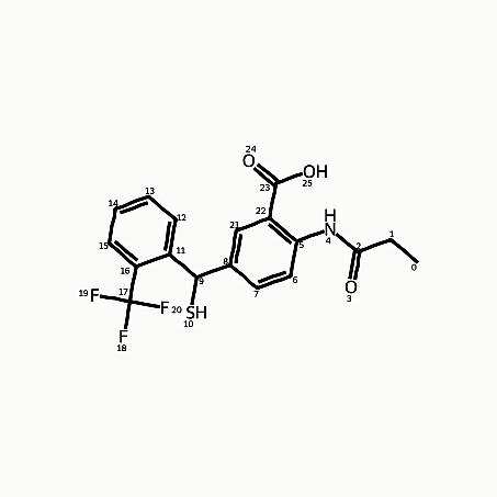 CCC(=O)Nc1ccc(C(S)c2ccccc2C(F)(F)F)cc1C(=O)O